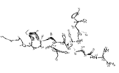 CCCOc1ccc(C[C@H](NC(C)=O)C(=O)N[C@@H](CCCCNC(=N)N)C(=O)N[C@@H](C)CC(=O)OC)cc1